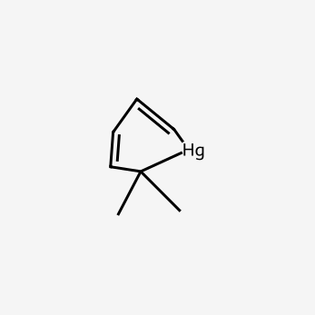 C[C]1(C)C=CC=[CH][Hg]1